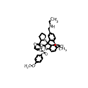 CCNCc1ccc(OCC)c(C2(N3CCCC3c3ncco3)C(=O)N(S(=O)(=O)c3ccc(OC)cc3)c3ccc(Cl)cc32)c1